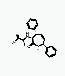 C[C@H](N[C@@H]1C(=O)N[C@H](c2ccccc2)C=C[C@H]1c1ccccc1)C(N)=O